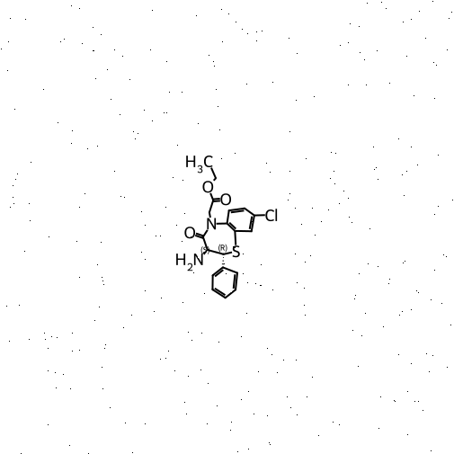 CCOC(=O)CN1C(=O)[C@H](N)[C@@H](c2ccccc2)Sc2cc(Cl)ccc21